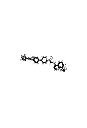 O=C(COc1ccnc2c(C(F)(F)F)cccc12)N1CCC(c2ccc(SNc3ncns3)cc2)CC1